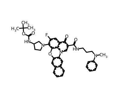 CN(CCCNC(=O)c1cn2c3c(c(N4CCC(NC(=O)OC(C)(C)C)C4)c(F)cc3c1=O)Oc1cc3ccccc3cc1-2)c1ccccc1